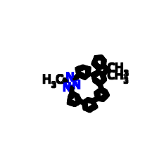 Cc1nc(-c2ccccc2)nc(-c2cccc(-c3cccc(-c4cccc(-c5ccc6c(c5)C(C)(C)c5ccccc5-6)c4)c3)c2)n1